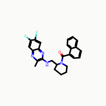 Cc1nc2cc(F)c(F)cc2nc1NCC1CCCCN1C(=O)c1cccc2ccccc12